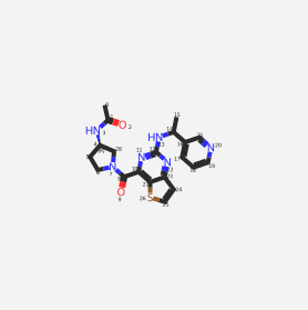 CC(=O)N[C@@H]1CCN(C(=O)c2nc(NC(C)c3cccnc3)nc3ccsc23)C1